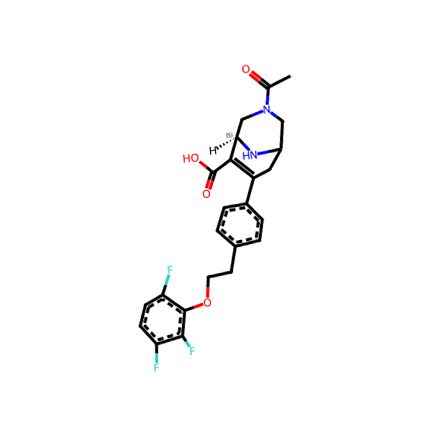 CC(=O)N1CC2CC(c3ccc(CCOc4c(F)ccc(F)c4F)cc3)=C(C(=O)O)[C@@H](C1)N2